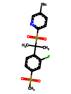 CC(C)(C)c1ccc(S(=O)(=O)C(C)(C)c2ccc(S(C)(=O)=O)cc2F)nc1